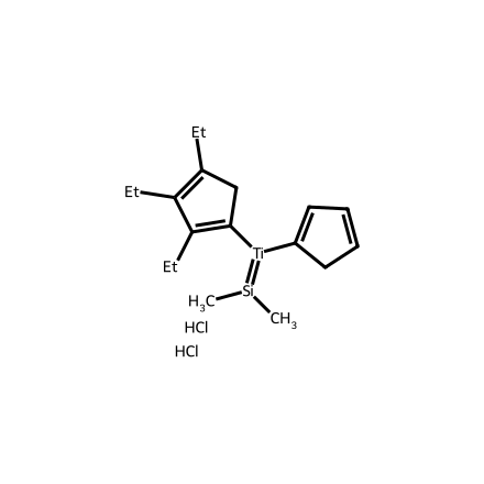 CCC1=C(CC)C(CC)=[C]([Ti]([C]2=CC=CC2)=[Si](C)C)C1.Cl.Cl